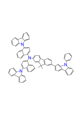 CC1(C)c2cc(-c3ccc4c5ccccc5n(-c5ccccc5)c4c3)ccc2-c2ccc(N(c3ccc(-n4c5ccccc5c5ccccc54)c4ccccc34)c3ccc(-n4c5ccccc5c5ccccc54)c4ccccc34)cc21